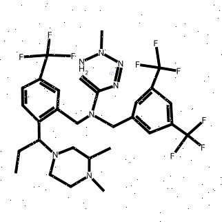 C=C(/N=N\N(C)N)N(Cc1cc(C(F)(F)F)cc(C(F)(F)F)c1)Cc1cc(C(F)(F)F)ccc1C(CC)N1CCN(C)C(C)C1